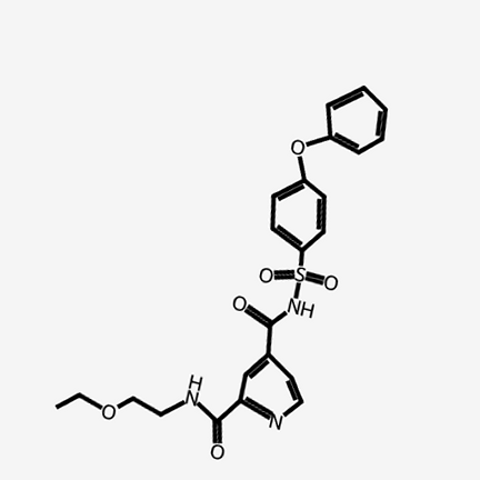 CCOCCNC(=O)c1cc(C(=O)NS(=O)(=O)c2ccc(Oc3ccccc3)cc2)ccn1